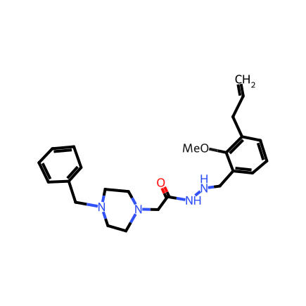 C=CCc1cccc(CNNC(=O)CN2CCN(Cc3ccccc3)CC2)c1OC